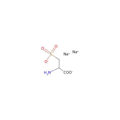 NC(CS(=O)(=O)[O-])C(=O)[O-].[Na+].[Na+]